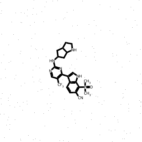 CP(C)(=O)c1c(C#N)ccc2c(-c3nc(NC4CC5CCNC5C4)ncc3C(F)(F)F)c[nH]c12